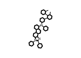 Cc1ccccc1-c1c(C)cccc1-c1cccc(N(c2ccccc2)c2cccc3c2ccc2c3ccc3c2nc(-c2ccccc2)n3-c2ccccc2)c1